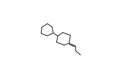 CCC=C1CCC(C2CCCCC2)CC1